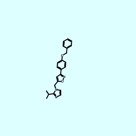 CC(C)c1nccn1Cc1cc(-c2ccc(OCc3ccccc3)cc2)no1